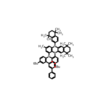 Cc1cc2c3c(c1)N(c1ccc(C(C)(C)C)cc1-c1cccc(-c4ccccc4)c1)c1cc(C(C)(C)C)ccc1B3c1cc3c(cc1N2c1ccc2c(c1)C(C)(C)CCC2(C)C)C(C)(C)CCC3(C)C